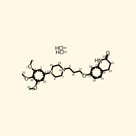 COc1cc(N2CCN(CCCOc3ccc4c(c3)NC(=O)CC4)CC2)cc(OC)c1OC.Cl.Cl